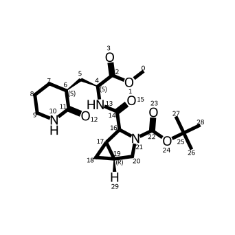 COC(=O)[C@H](C[C@@H]1CCCNC1=O)NC(=O)C1C2C[C@H]2CN1C(=O)OC(C)(C)C